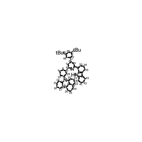 CC(C)(C)c1cc(-c2cc(-c3cccc(N(c4ccccn4)c4cccc5ccccc45)c3)nc(-c3cccc4c3[nH]c3ccccc34)c2)cc(C(C)(C)C)c1